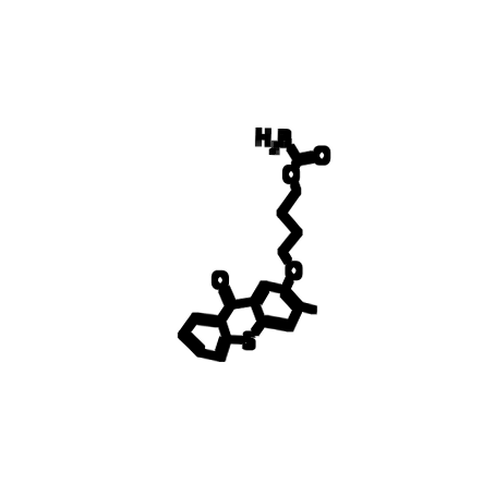 BC(=O)OCCCCOc1cc2c(=O)c3ccccc3sc2cc1C